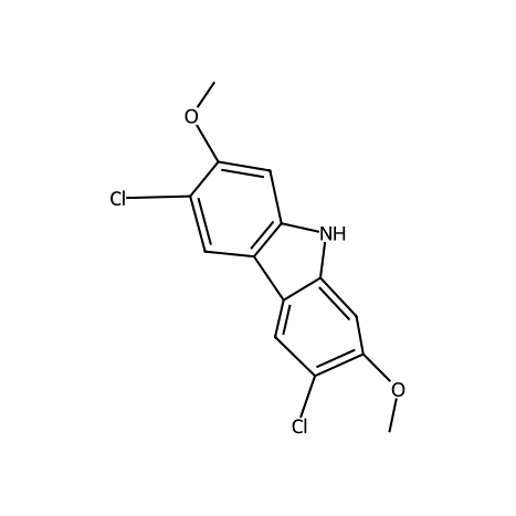 COc1cc2[nH]c3cc(OC)c(Cl)cc3c2cc1Cl